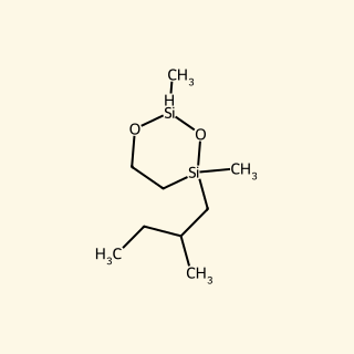 CCC(C)C[Si]1(C)CCO[SiH](C)O1